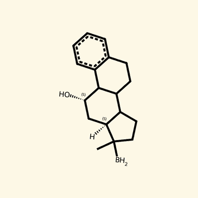 BC1(C)CCC2C3CCc4ccccc4C3[C@@H](O)C[C@@H]21